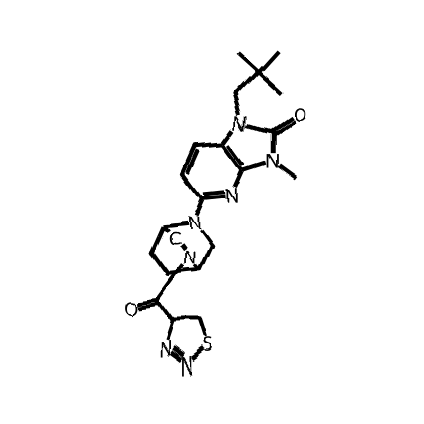 Cn1c(=O)n(CC(C)(C)C)c2ccc(N3CC4CCC3CN4C(=O)C3CSN=N3)nc21